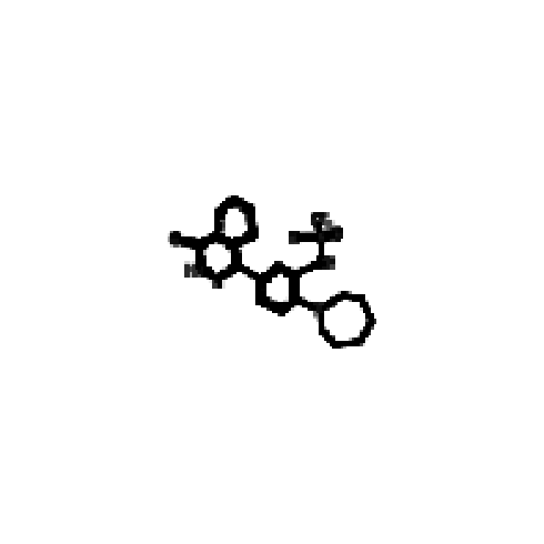 O=c1[nH]nc(-c2ccc(N3CCCCCC3)c(NS(=O)(=O)C(F)(F)F)c2)c2ccccc12